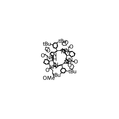 COCCCC(=O)Nc1cccc(NC(=O)[C@@H]2CCCO2)c1/C1=c2\cc/c([nH]2)=C(\c2cc(C(C)(C)C)cc(C(C)(C)C)c2)C2C=C/C(=C(\c3c(NC(=O)[C@@H]4CCCO4)cccc3NC(=O)[C@@H]3CCCO3)c3ccc([nH]3)/C(c3cc(C(C)(C)C)cc(C(C)(C)C)c3)=C3/C=CC1=N3)N2